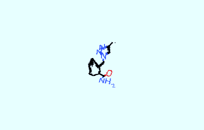 [CH2]c1cn(Cc2ccccc2C(N)=O)nn1